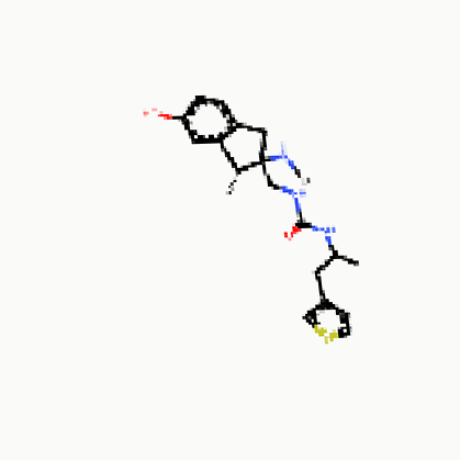 CCN[C@@]1(CNC(=O)NC(C)Cc2ccsc2)Cc2ccc(O)cc2[C@H]1C